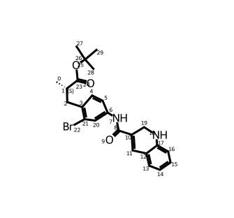 C[C@@H](Cc1ccc(NC(=O)C2=Cc3ccccc3NC2)cc1Br)C(=O)OC(C)(C)C